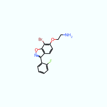 NCCOc1ccc2c(-c3ccccc3F)noc2c1Br